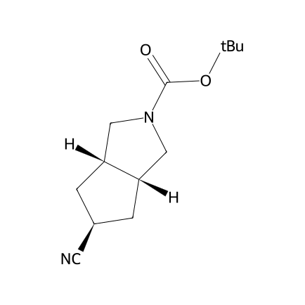 CC(C)(C)OC(=O)N1C[C@H]2C[C@H](C#N)C[C@H]2C1